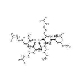 CC(C)NCCCC(NC(=O)C(CCCN)NC(C)C)C(=O)NC(CCCN)C(=O)NC(CCCNC(C)C)C(=O)NC(CCCNC(C)C)C(=O)C(C)C